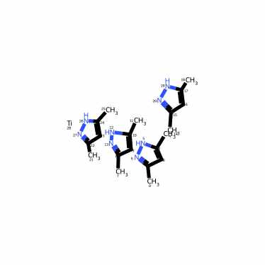 Cc1cc(C)[nH]n1.Cc1cc(C)[nH]n1.Cc1cc(C)[nH]n1.Cc1cc(C)[nH]n1.[Ti]